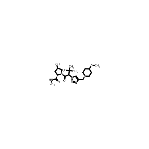 CNC(=O)[C@H]1CC(O)CN1C(=O)C(n1cc(CN2CCC(OC)CC2)nn1)C(C)(C)C